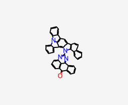 O=C1c2ccccc2-c2nc(-n3c4c5ccccc5ccc4c4cc5c6ccccc6n6c7ccccc7c(c43)c56)nc3cccc1c23